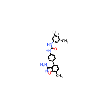 Cc1cc(C)cc(NC(=O)Nc2ccc(-c3ccc(C)c4onc(N)c34)cc2)c1